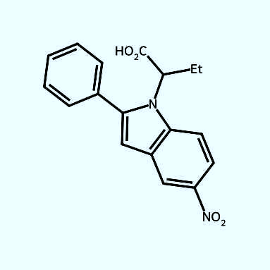 CCC(C(=O)O)n1c(-c2ccccc2)cc2cc([N+](=O)[O-])ccc21